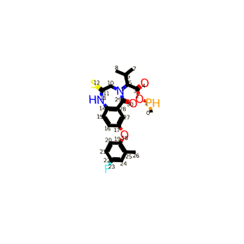 CPOC(=O)C(C(C)C)N1CC(=S)Nc2ccc(Oc3ccc(F)cc3C)cc2C1=O